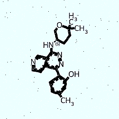 Cc1ccc(-c2nnc(N[C@H]3CCC(C)(C)OC3)c3cnccc23)c(O)c1